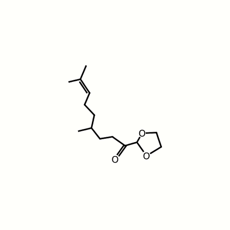 CC(C)=CCCC(C)CCC(=O)C1OCCO1